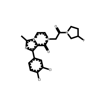 Cc1nc(-c2ccc(Cl)c(Cl)c2)c2c(=O)n(CC(=O)N3CCC(F)C3)ccn12